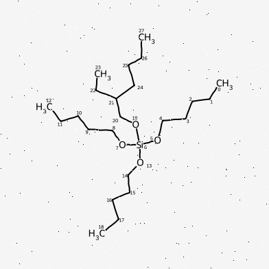 CCCCCO[Si](OCCCCC)(OCCCCC)OCC(CC)CCCC